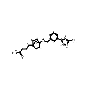 Cc1nc(-c2cccc(COC34CCC(CCCC(=O)O)(CC3)C4)c2)no1